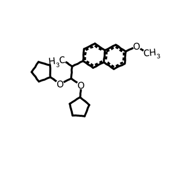 COc1ccc2cc(C(C)C(OC3CCCC3)OC3CCCC3)ccc2c1